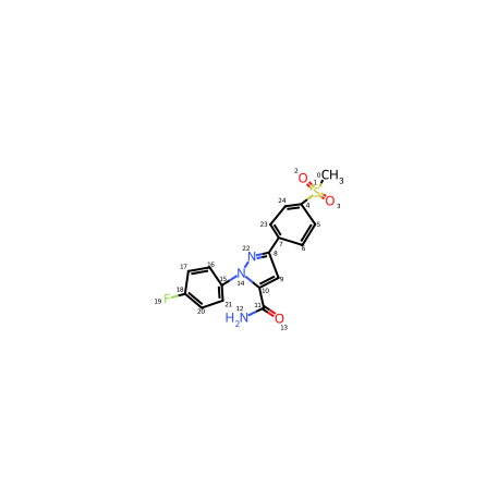 CS(=O)(=O)c1ccc(-c2cc(C(N)=O)n(-c3ccc(F)cc3)n2)cc1